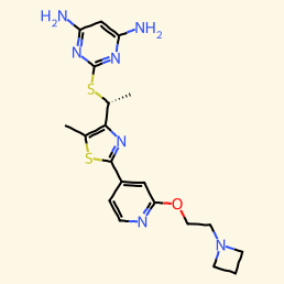 Cc1sc(-c2ccnc(OCCN3CCC3)c2)nc1[C@@H](C)Sc1nc(N)cc(N)n1